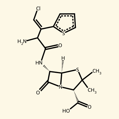 CC1(C)S[C@@H]2[C@@H](NC(=O)C(N)/C(=C/Cl)c3cccs3)C(=O)N2[C@H]1C(=O)O